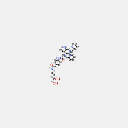 CN(CCCC[C@H](O)CO)C(=O)Cc1ccc(NC(=O)CN(CCN(Cc2ccccn2)Cc2ccccn2)Cc2ccccn2)cc1